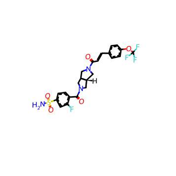 NS(=O)(=O)c1ccc(C(=O)N2CC3CN(C(=O)/C=C/c4ccc(OC(F)(F)F)cc4)C[C@@H]3C2)c(F)c1